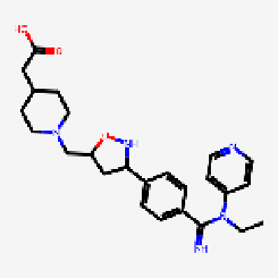 CCN(C(=N)c1ccc(C2CC(CN3CCC(CC(=O)O)CC3)ON2)cc1)c1ccncc1